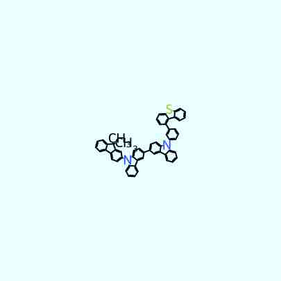 CC1(C)c2ccccc2-c2ccc(-n3c4ccccc4c4cc(-c5ccc6c(c5)c5ccccc5n6-c5cccc(-c6cccc7sc8ccccc8c67)c5)ccc43)cc21